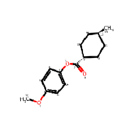 COc1ccc(OC(=O)[C@H]2CC[C@H](C)CC2)cc1